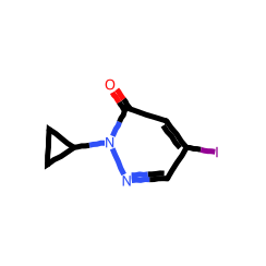 O=c1cc(I)cnn1C1CC1